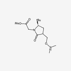 COC(=O)CN1C(=O)C(CO[SiH](C)C)C[C@@H]1C(C)(C)C